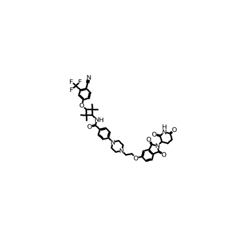 CC1(C)C(NC(=O)c2ccc(N3CCN(CCOc4ccc5c(c4)C(=O)N(C4CCC(=O)NC4=O)C5=O)CC3)cc2)C(C)(C)C1Oc1ccc(C#N)c(C(F)(F)F)c1